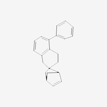 C1=CC2CC1CC21CCc2c(cccc2-c2ccccc2)C1